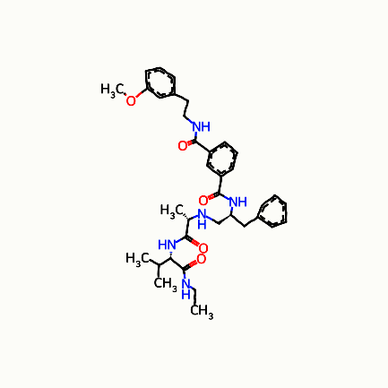 CCNC(=O)[C@@H](NC(=O)[C@H](C)NC[C@H](Cc1ccccc1)NC(=O)c1cccc(C(=O)NCCc2cccc(OC)c2)c1)C(C)C